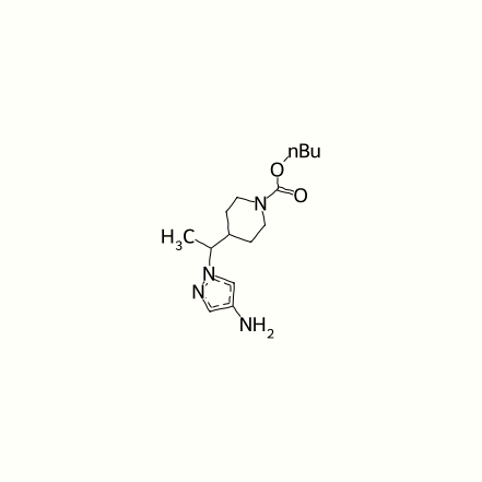 CCCCOC(=O)N1CCC(C(C)n2cc(N)cn2)CC1